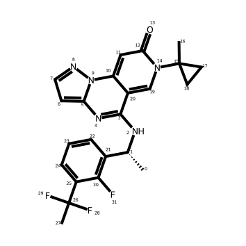 C[C@@H](Nc1nc2ccnn2c2cc(=O)n(C3(C)CC3)cc12)c1cccc(C(C)(F)F)c1F